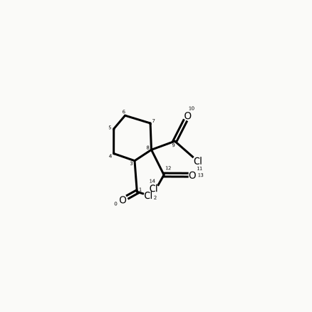 O=C(Cl)C1CCCCC1(C(=O)Cl)C(=O)Cl